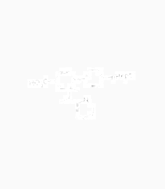 CCCCCCCc1ccc(C2C=CC(C(=O)O)=CC2(C)C(C)c2ccccn2)cc1